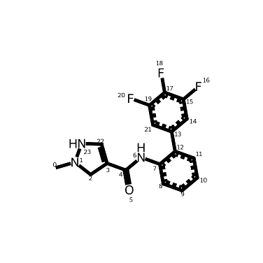 CN1CC(C(=O)Nc2ccccc2-c2cc(F)c(F)c(F)c2)=CN1